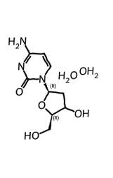 Nc1ccn([C@H]2CC(O)[C@@H](CO)O2)c(=O)n1.O.O